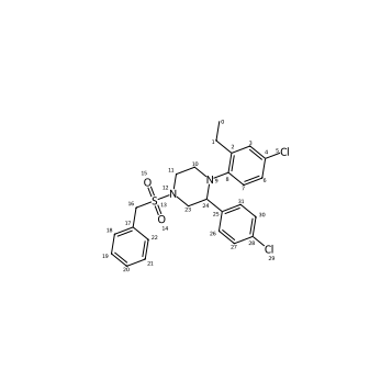 CCc1cc(Cl)ccc1N1CCN(S(=O)(=O)Cc2ccccc2)CC1c1ccc(Cl)cc1